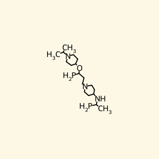 CC(P)NC1CCN(CCC(P)OC2CCN(C(C)C)CC2)CC1